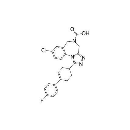 O=C(O)N1Cc2cc(Cl)ccc2-n2c(nnc2C2CC=C(c3ccc(F)cc3)CC2)C1